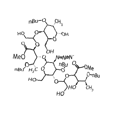 CCCCOC1[C@H](OC(CO)OC(C(=O)OC)[C@H](O[C@@H]2OC(CO)[C@@H](OC(CO)OC(C(=O)OC)[C@H](O)[C@H](C)OCCCC)C(OCCCC)[C@@H]2N=[N+]=[N-])[C@H](C)OCCCC)C(CO)O[C@@H](O)[C@H]1C